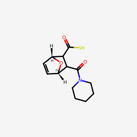 O=C(S)C1C(C(=O)N2CCCCC2)[C@@H]2C=C[C@H]1O2